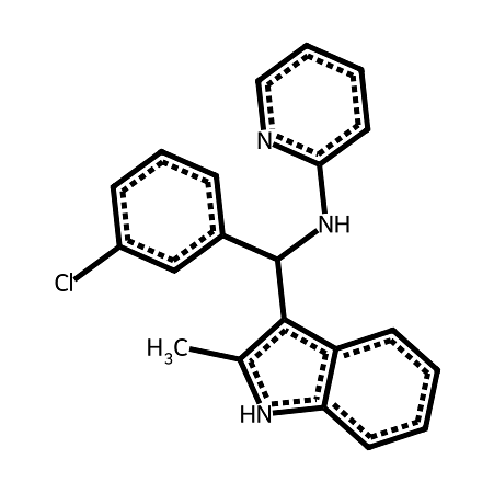 Cc1[nH]c2ccccc2c1C(Nc1ccccn1)c1cccc(Cl)c1